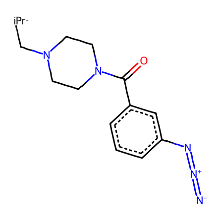 C[C](C)CN1CCN(C(=O)c2cccc(N=[N+]=[N-])c2)CC1